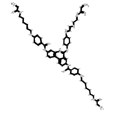 C=CC(=O)OCCCCCCOC1CCC(C(=O)Oc2ccc3c(c2)nc(OC2CCC(OCCOCCOC(=O)C=C)CC2)c2cc(OC(=O)C4CCC(OCCCCCCOC(=O)C=C)CC4)ccc23)CC1